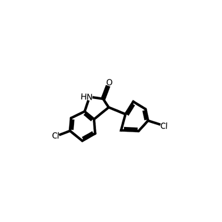 O=C1Nc2cc(Cl)ccc2C1c1ccc(Cl)cc1